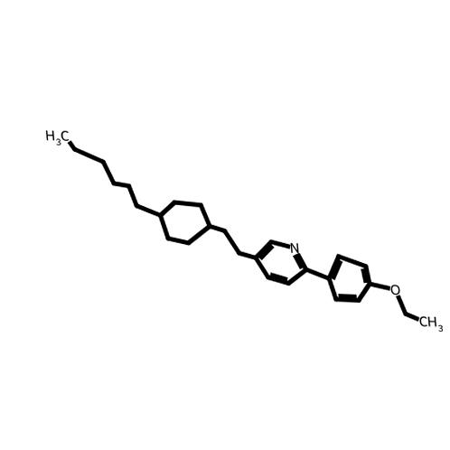 CCCCCCC1CCC(CCc2ccc(-c3ccc(OCC)cc3)nc2)CC1